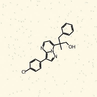 CC(CO)(Cc1ccccc1)c1ccnc2c(-c3ccc(Cl)cc3)cnn12